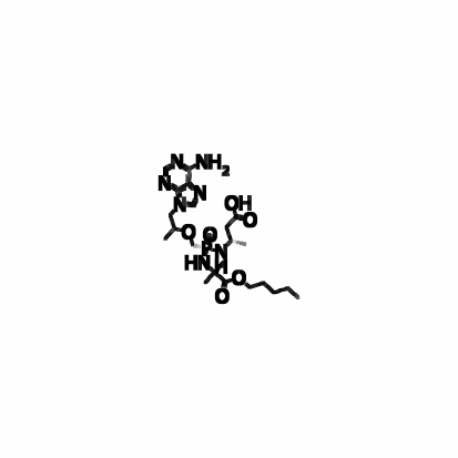 CCCCCOC(=O)C(C)(C)N[P@](=O)(COC(C)Cn1cnc2c(N)ncnc21)N[C@@H](C)CC(=O)O